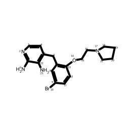 Nc1nccc(Cc2cc(Br)ccc2OCCN2CCCC2)c1N